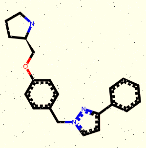 c1ccc(-c2ccn(Cc3ccc(OC[C@H]4CCC[N]4)cc3)n2)cc1